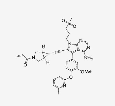 C=CC(=O)N1C[C@@H]2[C@@H](C#Cc3c(-c4ccc(Oc5cccc(C)n5)c(OC)c4)c4c(N)ncnc4n3CCCS(C)(=O)=O)[C@@H]2C1